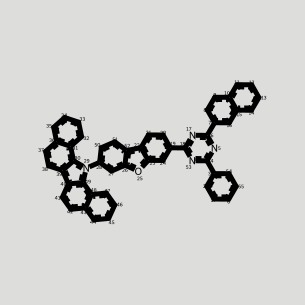 c1ccc(-c2nc(-c3ccc4ccccc4c3)nc(-c3ccc4c(c3)oc3cc(-n5c6c7ccccc7ccc6c6ccc7ccccc7c65)ccc34)n2)cc1